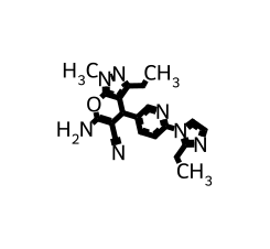 CCc1nn(C)c2c1C(c1ccc(-n3ccnc3CC)nc1)C(C#N)=C(N)O2